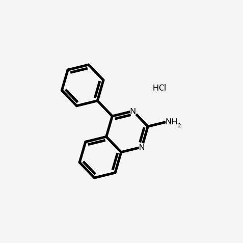 Cl.Nc1nc(-c2ccccc2)c2ccccc2n1